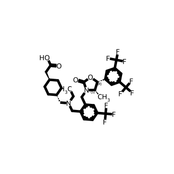 CCN(Cc1ccc(C(F)(F)F)cc1CN1C(=O)O[C@H](c2cc(C(F)(F)F)cc(C(F)(F)F)c2)[C@@H]1C)C[C@H]1CC[C@H](CC(=O)O)CC1